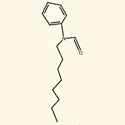 CCCCCCCCN(C=O)c1ccccc1